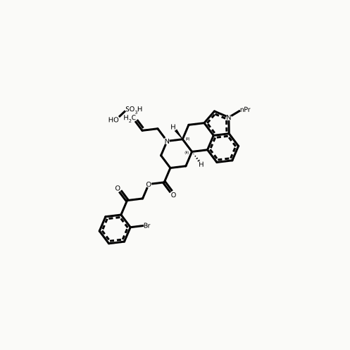 C=CCN1CC(C(=O)OCC(=O)c2ccccc2Br)C[C@@H]2c3cccc4c3c(cn4CCC)C[C@H]21.O=S(=O)(O)O